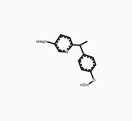 CCCCCCCCOc1ccc(C(C)c2ccc(CCCCCCC)cn2)cc1